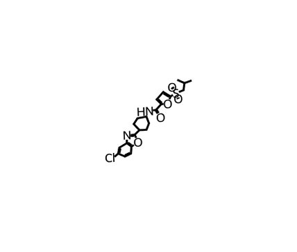 CC(C)CS(=O)(=O)c1ccc(C(=O)NC2CCC(c3nc4cc(Cl)ccc4o3)CC2)o1